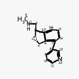 CNCC1OCc2c(-c3cccnc3)cccc21